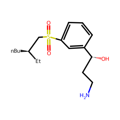 CCCC[C@H](CC)CS(=O)(=O)c1cccc([C@H](O)CCN)c1